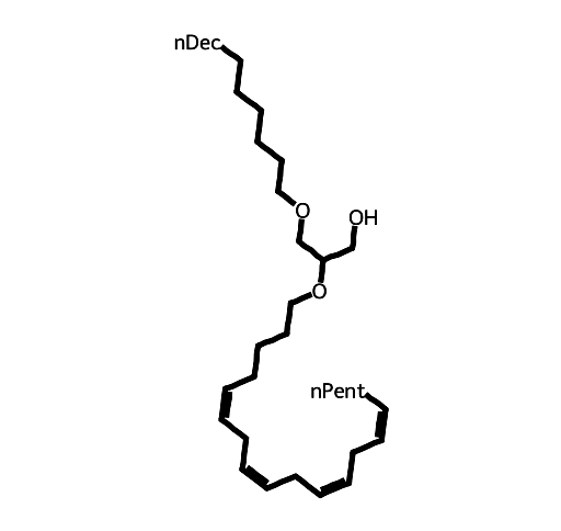 CCCCC/C=C\C/C=C\C/C=C\C/C=C\CCCCOC(CO)COCCCCCCCCCCCCCCCC